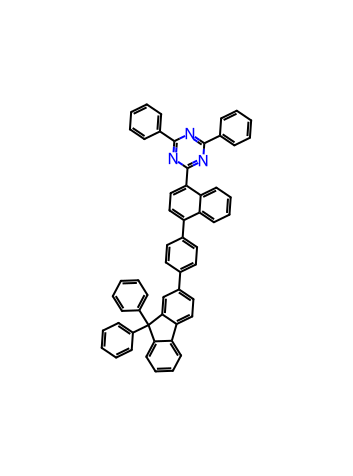 c1ccc(-c2nc(-c3ccccc3)nc(-c3ccc(-c4ccc(-c5ccc6c(c5)C(c5ccccc5)(c5ccccc5)c5ccccc5-6)cc4)c4ccccc34)n2)cc1